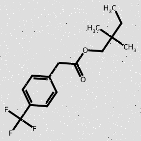 CCC(C)(C)COC(=O)Cc1ccc(C(F)(F)F)cc1